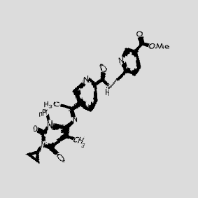 CCCn1c(/N=C(\C)c2ccc(C(=O)Nc3ccc(C(=O)OC)cn3)nc2)c(C)c(=O)n(C2CC2)c1=O